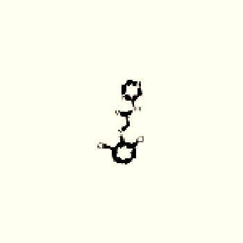 O=C(CSc1c(Cl)cccc1Cl)Nc1cnccn1